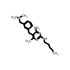 CCCCCNc1nc(C)c(Cc2cccc(CN(C)C)c2)c(N)n1